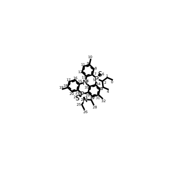 CCC(CC)P1(=S)c2cc(C)ccc2N2c3ccc(C)cc3P(=S)(N(CC)CC)c3cc(C)cc1c32